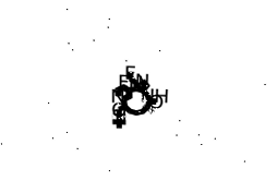 C[C@@H]1CCCC(O[Si](C)(C)C(C)(C)C)c2cc(ccn2)-c2c(cnn2C(F)F)NC1=O